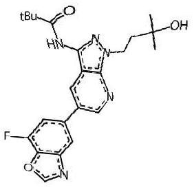 CC(C)(O)CCn1nc(NC(=O)C(C)(C)C)c2cc(-c3cc(F)c4ocnc4c3)cnc21